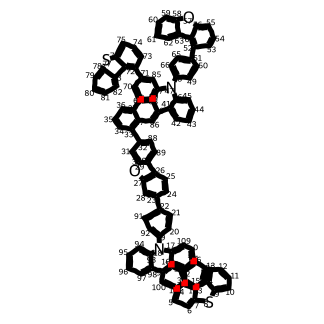 c1cc(-c2cccc3sc4ccccc4c23)cc(N(c2ccc(-c3ccc4c(c3)oc3cc(-c5cccc6ccc(-c7ccccc7N(c7ccc(-c8cccc9oc%10ccccc%10c89)cc7)c7cccc(-c8cccc9sc%10ccccc%10c89)c7)cc56)ccc34)cc2)c2ccccc2-c2ccc3ccccc3c2)c1